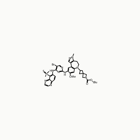 COc1cc2c(cc1Nc1ncc(Br)c(Nc3ccc4nccnc4c3P(C)(C)=S)n1)-c1cnn(C)c1CCN2C1CC2(C1)CN(C(=O)OC(C)(C)C)C2